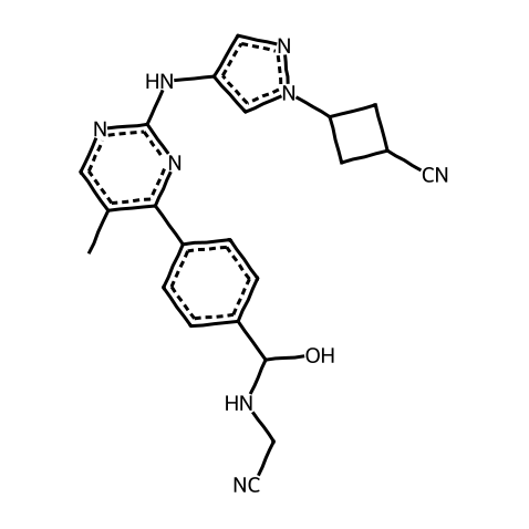 Cc1cnc(Nc2cnn(C3CC(C#N)C3)c2)nc1-c1ccc(C(O)NCC#N)cc1